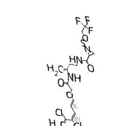 C=C(CCNC(=O)C1CN1SOCC(F)(F)F)NC(=O)CO/C=C/C=C(/Cl)C(=C)Cl